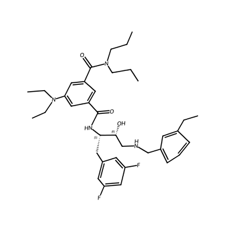 CCCN(CCC)C(=O)c1cc(C(=O)N[C@@H](Cc2cc(F)cc(F)c2)[C@H](O)CNCc2cccc(CC)c2)cc(N(CC)CC)c1